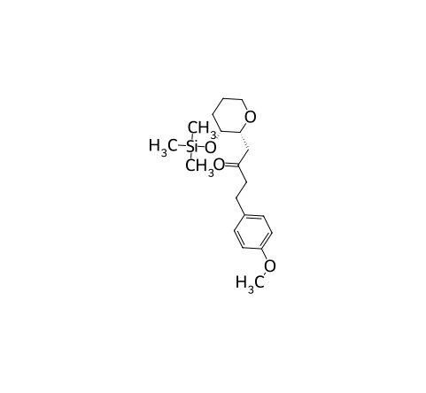 COc1ccc(CCC(=O)C[C@H]2OCCC[C@H]2O[Si](C)(C)C)cc1